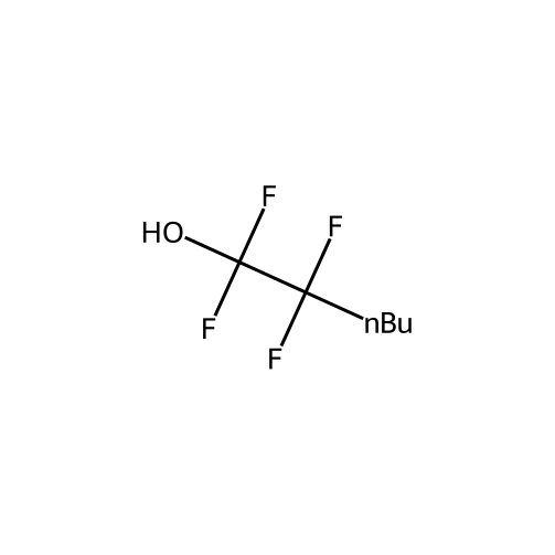 CCCCC(F)(F)C(O)(F)F